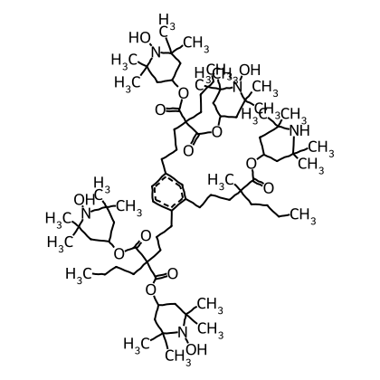 CCCCC(C)(CCCc1cc(CCCC(CCCC)(C(=O)OC2CC(C)(C)N(O)C(C)(C)C2)C(=O)OC2CC(C)(C)N(O)C(C)(C)C2)ccc1CCCC(CCCC)(C(=O)OC1CC(C)(C)N(O)C(C)(C)C1)C(=O)OC1CC(C)(C)N(O)C(C)(C)C1)C(=O)OC1CC(C)(C)NC(C)(C)C1